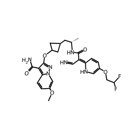 COc1ccc2c(C(N)=O)c(OC3CC(C[C@H](C)NC(=O)/C(C=N)=C4\C=CC(OCC(F)F)=CN4)C3)nn2c1